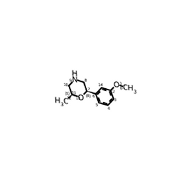 COc1cccc([C@@H]2CNC[C@H](C)O2)c1